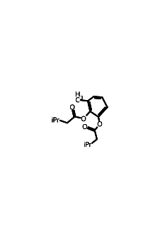 Cc1cccc(OC(=O)CC(C)C)c1OC(=O)CC(C)C